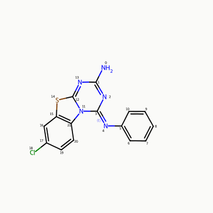 Nc1n/c(=N\c2ccccc2)n2c(n1)sc1cc(Cl)ccc12